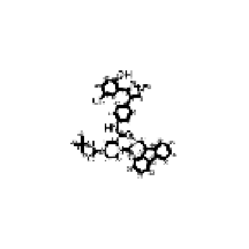 Cn1cc(-c2ccc(NC(=O)[C@@H]3CN(C(=O)OC(C)(C)C)CCN3C(=O)OCC3c4ccccc4-c4ccccc43)cc2)c(-c2cc(Cl)ccc2O)n1